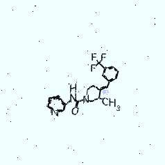 CC1CN(C(=O)Nc2cccnc2)CC/C1=C\c1cccc(C(F)(F)F)c1